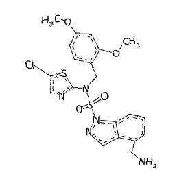 COc1ccc(CN(c2ncc(Cl)s2)S(=O)(=O)n2ncc3c(CN)cccc32)c(OC)c1